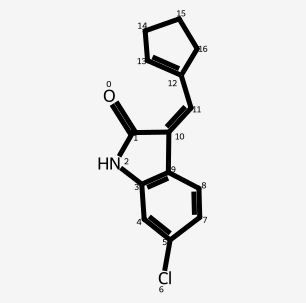 O=C1Nc2cc(Cl)ccc2/C1=C/C1=CCCC1